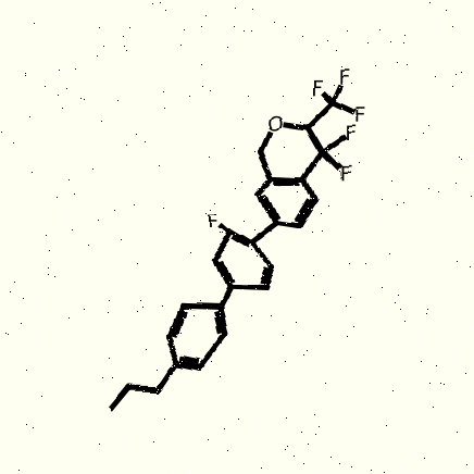 CCCc1ccc(-c2ccc(-c3ccc4c(c3)COC(C(F)(F)F)C4(F)F)c(F)c2)cc1